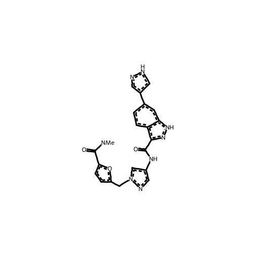 CNC(=O)c1ccc(Cn2cc(NC(=O)c3n[nH]c4cc(-c5cn[nH]c5)ccc34)cn2)o1